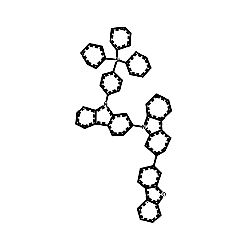 c1ccc([Si](c2ccccc2)(c2ccccc2)c2ccc(-n3c4ccccc4c4ccc(-n5c6ccccc6c6ccc(-c7ccc8c(c7)oc7ccccc78)cc65)cc43)cc2)cc1